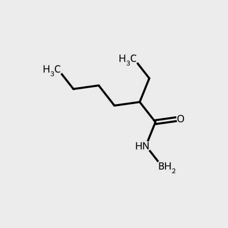 BNC(=O)C(CC)CCCC